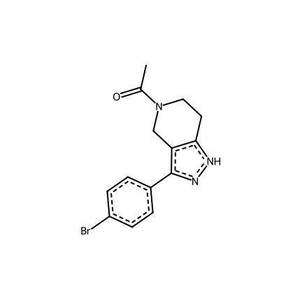 CC(=O)N1CCc2[nH]nc(-c3ccc(Br)cc3)c2C1